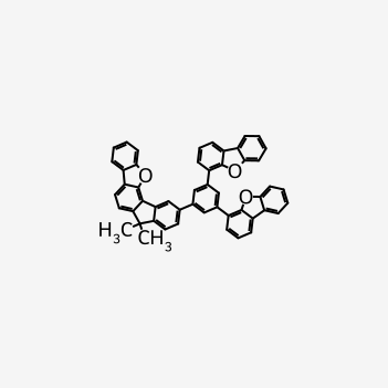 CC1(C)c2ccc(-c3cc(-c4cccc5c4oc4ccccc45)cc(-c4cccc5c4oc4ccccc45)c3)cc2-c2c1ccc1c2oc2ccccc21